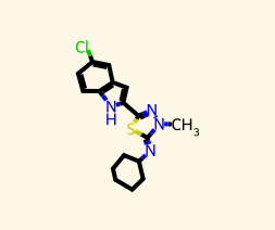 Cn1nc(-c2cc3cc(Cl)ccc3[nH]2)sc1=NC1CCCCC1